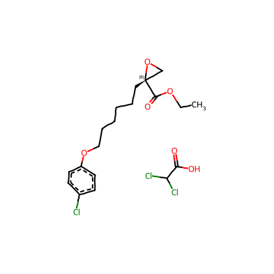 CCOC(=O)[C@@]1(CCCCCCOc2ccc(Cl)cc2)CO1.O=C(O)C(Cl)Cl